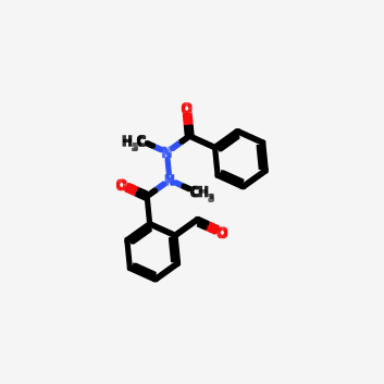 CN(C(=O)c1ccccc1)N(C)C(=O)c1ccccc1C=O